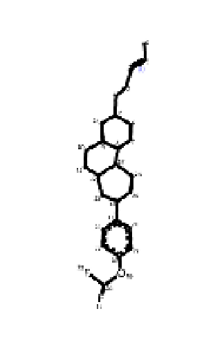 C/C=C/CCC1CCC2C(CCC3CC(c4ccc(OC(F)F)cc4)CCC32)C1